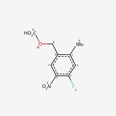 CC(C)(C)c1cc(F)c([N+](=O)[O-])cc1COC(=O)O